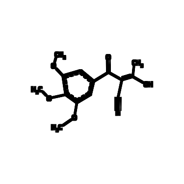 COc1cc(C(=O)/C(C#N)=C(\C)O)cc(OC)c1OC